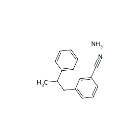 CC(Cc1cccc(C#N)c1)c1ccccc1.N